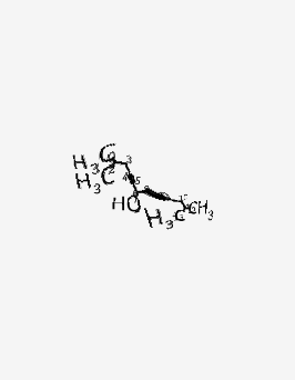 CC(C)CC#CC(O)C#CCC(C)C